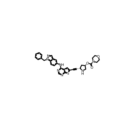 O=C(O[C@H]1CN[C@H](C#Cc2cc3c(Nc4ccc5c(cnn5Cc5ccccc5)c4)ncnc3s2)C1)N1CCOCC1